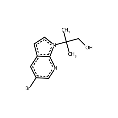 CC(C)(CO)n1ccc2cc(Br)cnc21